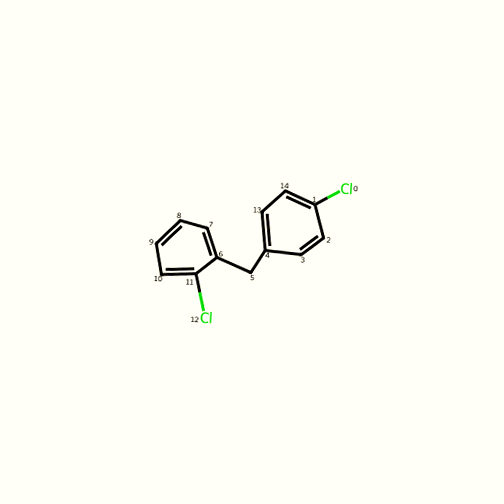 Clc1ccc(Cc2ccccc2Cl)cc1